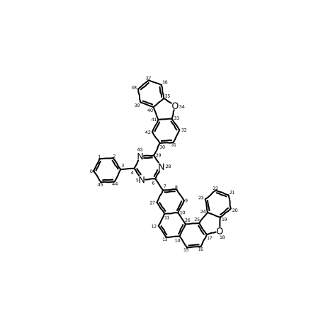 c1ccc(-c2nc(-c3ccc4c(ccc5ccc6oc7ccccc7c6c54)c3)nc(-c3ccc4oc5ccccc5c4c3)n2)cc1